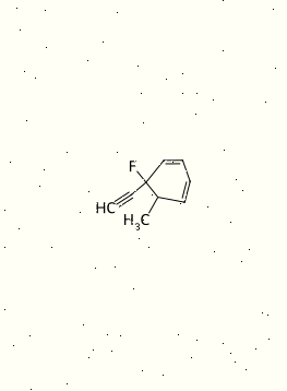 C#CC1(F)C=CC=CC1C